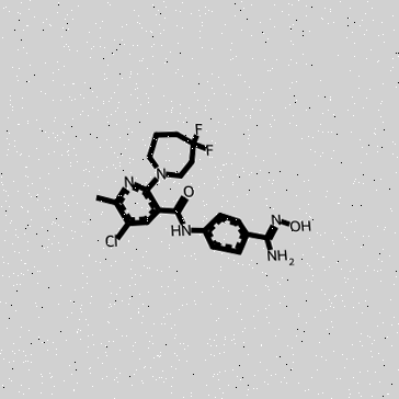 Cc1nc(N2CCCC(F)(F)CC2)c(C(=O)Nc2ccc(C(N)=NO)cc2)cc1Cl